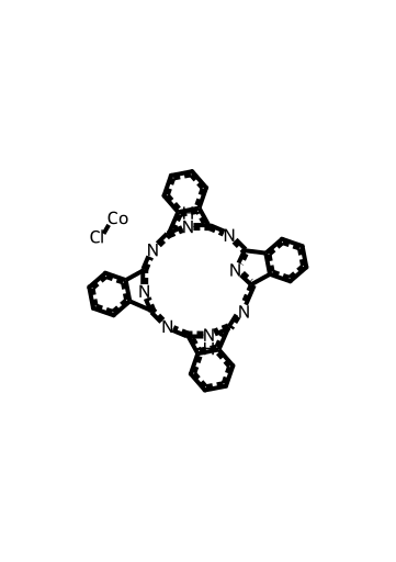 [Cl][Co].c1ccc2c(c1)-c1nc-2nc2[nH]c(nc3nc(nc4[nH]c(n1)c1ccccc41)-c1ccccc1-3)c1ccccc21